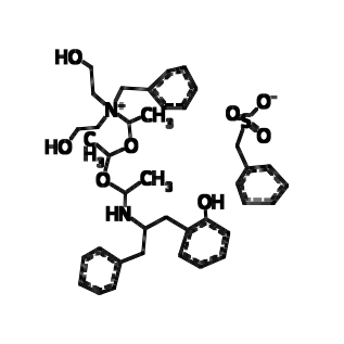 CC(NC(Cc1ccccc1)Cc1ccccc1O)OC(C)OC(C)[N+](CCO)(CCO)Cc1ccccc1.O=S(=O)([O-])Cc1ccccc1